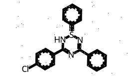 Clc1ccc(C2=NC(c3ccccc3)=N[SH](c3ccccc3)N2)cc1